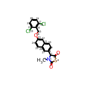 CN1C(=O)SC(=O)C1c1ccc2cc(OCc3c(Cl)cccc3Cl)ccc2c1